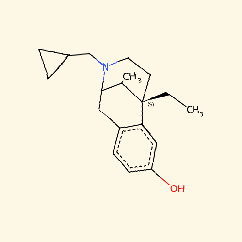 CC[C@@]12CCN(CC3CC3)C(Cc3ccc(O)cc31)C2C